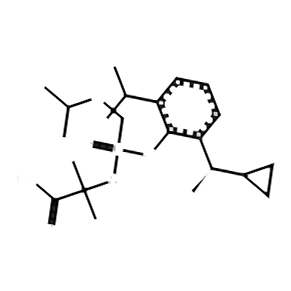 CC(C)OCP(=O)(NC(C)(C)C(=O)O)Oc1c(C(C)C)cccc1[C@H](C)C1CC1